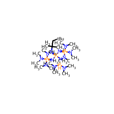 CN(C)[PH](=NP(=NC(C)(C)CC(C)(C)C)(N=P(N(C)C)(N(C)C)N(C)C)N=P(N(C)C)(N(C)C)N(C)C)N(C)C